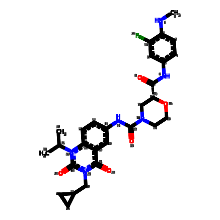 CNc1ccc(NC(=O)[C@H]2CN(C(=O)Nc3ccc4c(c3)c(=O)n(CC3CC3)c(=O)n4C(C)C)CCO2)cc1F